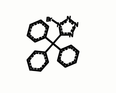 Brn1nnnc1C(c1ccccc1)(c1ccccc1)c1ccccc1